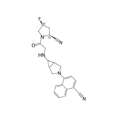 N#Cc1ccc(N2CC3C(C2)C3NCC(=O)N2C[C@@H](F)C[C@H]2C#N)c2ccccc12